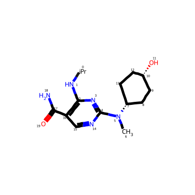 CC(C)Nc1nc(N(C)[C@H]2CC[C@@H](O)CC2)ncc1C(N)=O